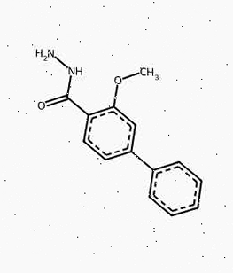 COc1cc(-c2ccccc2)ccc1C(=O)NN